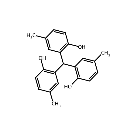 Cc1ccc(O)c(C(c2cc(C)ccc2O)c2cc(C)ccc2O)c1